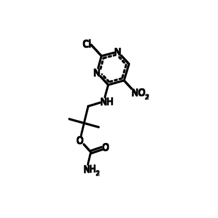 CC(C)(CNc1nc(Cl)ncc1[N+](=O)[O-])OC(N)=O